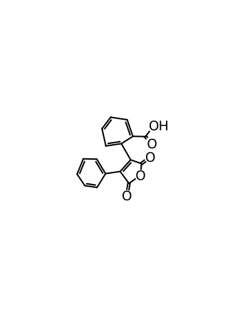 O=C1OC(=O)C(c2ccccc2C(=O)O)=C1c1ccccc1